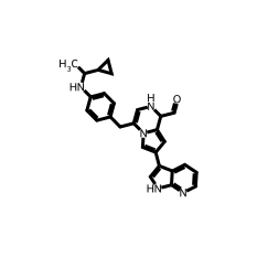 CC(Nc1ccc(CC2=CNC(C=O)c3cc(-c4c[nH]c5ncccc45)cn32)cc1)C1CC1